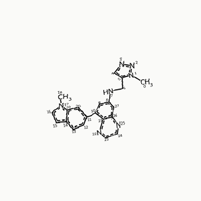 Cn1nncc1CNc1cc(-c2ccc3ccn(C)c3c2)c2nccnc2c1